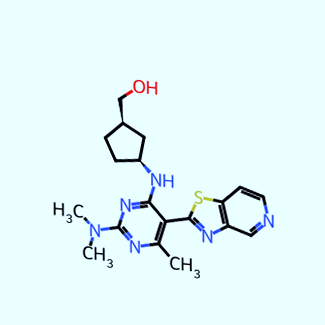 Cc1nc(N(C)C)nc(N[C@H]2CC[C@@H](CO)C2)c1-c1nc2cnccc2s1